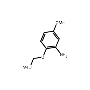 COCOc1ccc(OC)cc1N